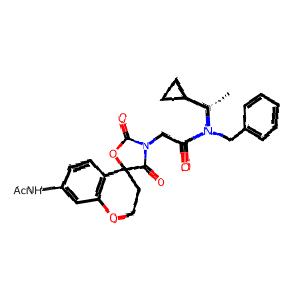 CC(=O)Nc1ccc2c(c1)OCCC21OC(=O)N(CC(=O)N(Cc2ccccc2)[C@@H](C)C2CC2)C1=O